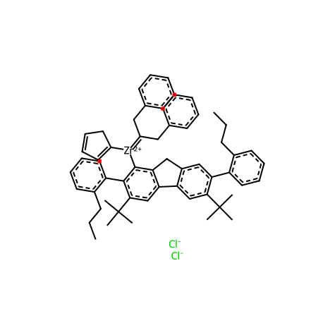 CCCc1ccccc1-c1cc2c(cc1C(C)(C)C)-c1cc(C(C)(C)C)c(-c3ccccc3CCC)[c]([Zr+2]([C]3=CC=CC3)=[C](Cc3ccccc3)Cc3ccccc3)c1C2.[Cl-].[Cl-]